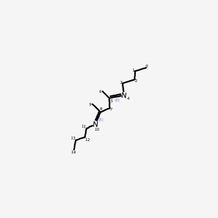 CCCC/N=C(\C)C/C(C)=N/CCCC